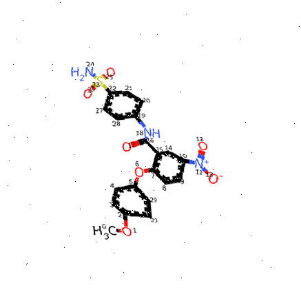 COc1ccc(Oc2ccc([N+](=O)[O-])cc2C(=O)Nc2ccc(S(N)(=O)=O)cc2)cc1